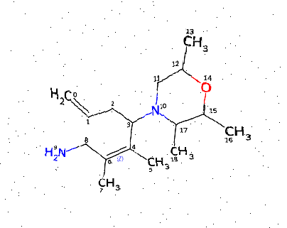 C=CCC(/C(C)=C(/C)CN)N1CC(C)OC(C)C1C